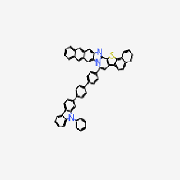 c1ccc(-n2c3ccccc3c3ccc(-c4ccc(-c5ccc(-c6cc7c8ccc9ccccc9c8sc7c7nc8cc9cc%10ccccc%10cc9cc8n67)cc5)cc4)cc32)cc1